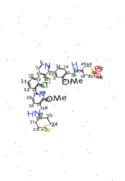 COc1cc(-c2nccc(-c3cccc(-c4ccc(CNC5CCSCC5)c(OC)n4)c3Cl)c2Cl)ccc1CNC1CCS(=O)(=O)CC1